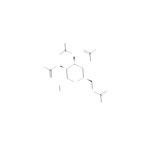 CC(=O)OC[C@H]1O[C@H](OP)[C@@H](OC(C)=O)[C@@H](OC(C)=O)[C@@H]1OC(C)=O